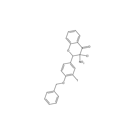 O=C1c2ccccc2OC(c2ccc(OCc3ccccc3)c(I)c2)C1(Cl)[N+](=O)[O-]